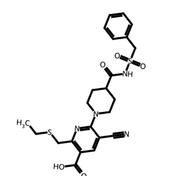 CCSCc1nc(N2CCC(C(=O)NS(=O)(=O)Cc3ccccc3)CC2)c(C#N)cc1C(=O)O